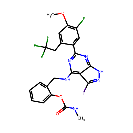 CNC(=O)Oc1ccccc1CNc1nc(-c2cc(F)c(OC)cc2CC(F)(F)F)nc2[nH]nc(I)c12